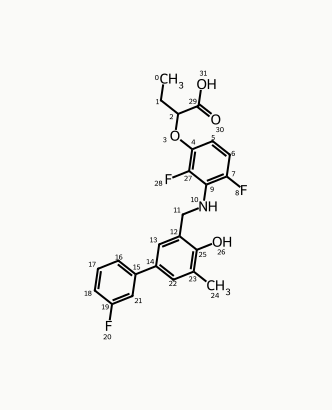 CCC(Oc1ccc(F)c(NCc2cc(-c3cccc(F)c3)cc(C)c2O)c1F)C(=O)O